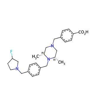 C[C@@H]1CN(Cc2ccc(C(=O)O)cc2)C[C@H](C)N1Cc1ccc(CN2CCC(F)C2)cc1